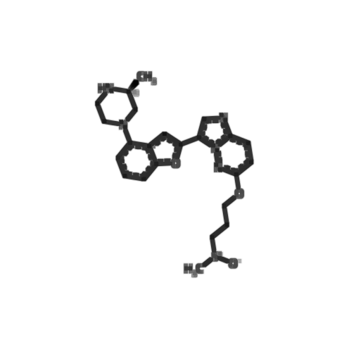 C[C@H]1CN(c2cccc3oc(-c4cnc5ccc(OCCC[S+](C)[O-])nn45)cc23)CCN1